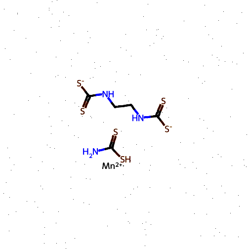 NC(=S)S.S=C([S-])NCCNC(=S)[S-].[Mn+2]